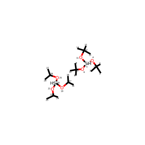 CC(C)(C)O[SiH](OC(C)(C)C)OC(C)(C)C.CC(C)O[SiH](OC(C)C)OC(C)C